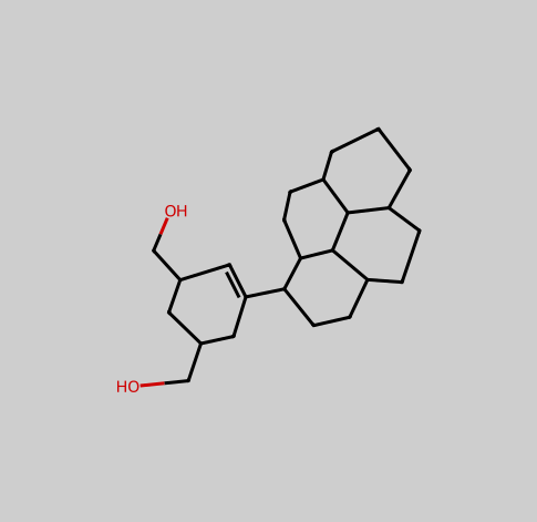 OCC1C=C(C2CCC3CCC4CCCC5CCC2C3C45)CC(CO)C1